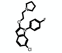 Fc1ccc(-n2c(OCCN3CCCC3)cc3ccc(Cl)cc32)cc1